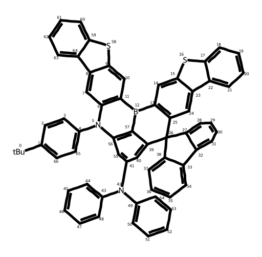 CC(C)(C)c1ccc(N2c3cc4c(cc3B3c5cc6sc7ccccc7c6cc5C5(c6ccccc6-c6ccccc65)c5cc(N(c6ccccc6)c6ccccc6)cc2c53)sc2ccccc24)cc1